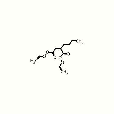 C=COOC(=O)CC(CCCC)C(=O)OOC=C